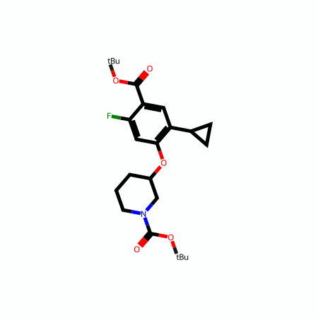 CC(C)(C)OC(=O)c1cc(C2CC2)c(OC2CCCN(C(=O)OC(C)(C)C)C2)cc1F